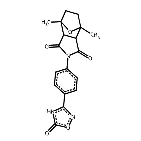 CC12CCC(C)(O1)C1C(=O)N(c3ccc(-c4noc(=O)[nH]4)cc3)C(=O)C12